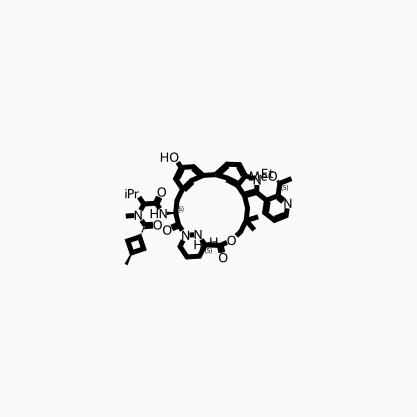 CCn1c(-c2cccnc2[C@H](C)OC)c2c3cc(ccc31)-c1cc(O)cc(c1)C[C@H](NC(=O)C(C(C)C)N(C)C(=O)[C@H]1C[C@H](C)C1)C(=O)N1CCC[C@H](N1)C(=O)OCC(C)(C)C2